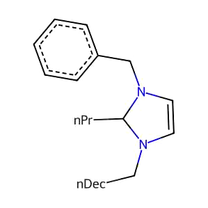 CCCCCCCCCCCN1C=CN(Cc2ccccc2)C1CCC